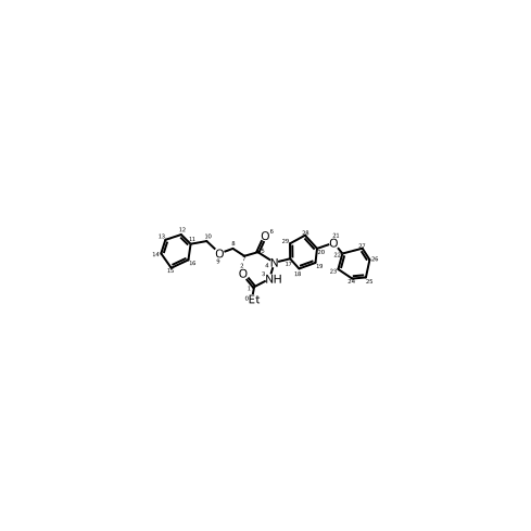 CCC(=O)NN(C(=O)CCOCc1ccccc1)c1ccc(Oc2ccccc2)cc1